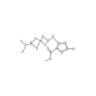 COC(=O)c1sc(Cl)cc1OC1CC2(C1)CN(C(C)C)C2